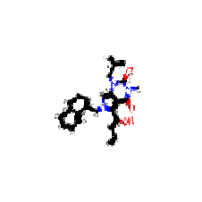 CCCC(O)c1c2c(=O)n(C)c(=O)n(CC(C)C)c2cn1Cc1cccc2ccccc12